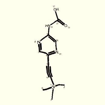 C[Si](C)(C)C#Cc1cnc(NC(=O)O)cn1